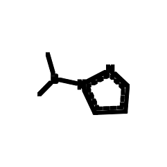 CB(C)n1cccn1